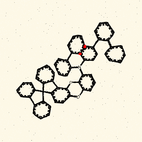 c1ccc(-c2ccccc2-c2ccc(N(c3ccccc3-c3ccccc3)c3cccc4c3Oc3c(ccc5c3-c3ccccc3C53c5ccccc5-c5ccccc53)O4)cc2)cc1